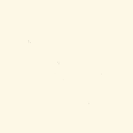 CC1CC(NC(=O)C(C)(C)COc2ncccc2C(F)(F)F)CCN1C